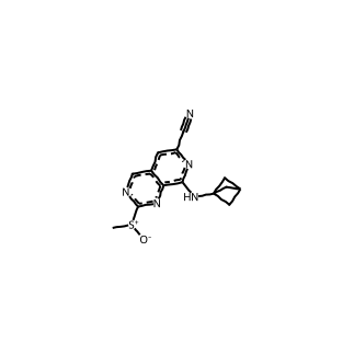 C[S+]([O-])c1ncc2cc(C#N)nc(NC34CC(C3)C4)c2n1